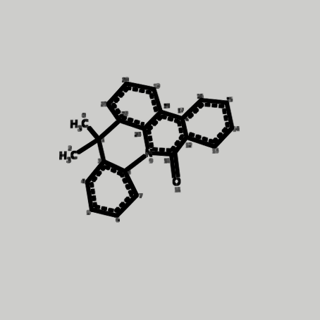 CC1(C)c2ccccc2-n2c(=O)c3ccccc3c3cccc1c32